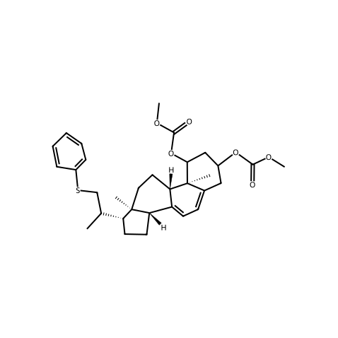 COC(=O)OC1CC2=CC=C3[C@@H]4CC[C@H](C(C)CSc5ccccc5)[C@@]4(C)CC[C@@H]3[C@@]2(C)C(OC(=O)OC)C1